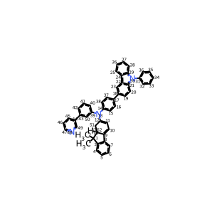 CC1(C)c2ccccc2C2=CC=C(N(c3ccc(-c4ccc5c(c4)c4ccccc4n5-c4ccccc4)cc3)c3cccc(-c4cccnc4)c3)C[C@H]21